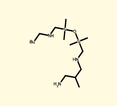 CCC(C)CNC[Si](C)(C)O[Si](C)(C)CNCC(C)CN